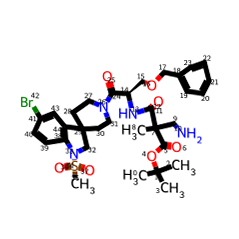 CC(C)(C)OC(=O)C(C)(CN)C(=O)N[C@H](COCc1ccccc1)C(=O)N1CCC2(CC1)CN(S(C)(=O)=O)c1ccc(Br)cc12